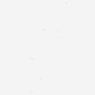 C=C1/C(NC(=O)CSc2nnc(-c3cccnc3)n2CC)=C\C=C/C/N=C\N1C